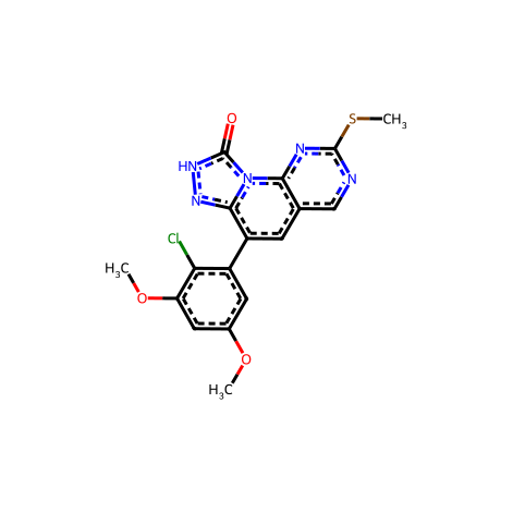 COc1cc(OC)c(Cl)c(-c2cc3cnc(SC)nc3n3c(=O)[nH]nc23)c1